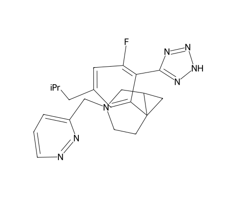 CC(C)Cc1cc(F)c(-c2nn[nH]n2)c(C23CCN(Cc4cccnn4)CC2C3)c1